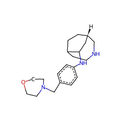 c1cc(NC2C[C@@H]3CCC2CCNC3)ccc1CN1CCOCC1